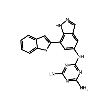 Nc1nc(N)nc(Nc2cc(-c3cc4ccccc4s3)c3[nH]ncc3c2)n1